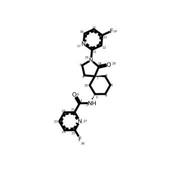 O=C(N[C@H]1CCC[C@]2(CCN(c3cc(F)ccn3)C2=O)C1)c1cccc(F)n1